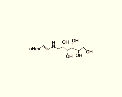 CCCCCCC=CNC[C@H](O)[C@@H](O)[C@H](O)[C@H](O)CO